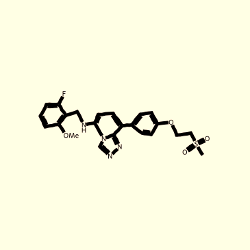 COc1cccc(F)c1CNc1ccc(-c2ccc(OCCS(C)(=O)=O)cc2)c2nncn12